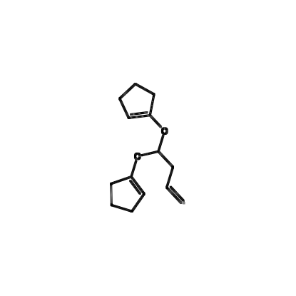 [CH]=CCC(OC1=CCCC1)OC1=CCCC1